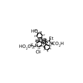 CCC1N(C(=O)O)c2ccc3cc2[N+]1(C(=O)O)N3C1(C(=O)c2ccc(O)cc2)C=CN(CCC(=O)O)C=C1.[Cl-]